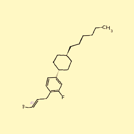 CCCCCC[C@H]1CC[C@H](c2ccc(C/C=C/F)c(F)c2)CC1